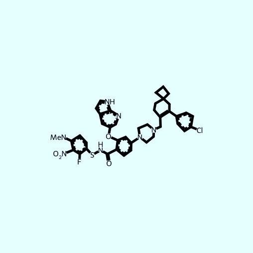 CNc1ccc(SNC(=O)c2ccc(N3CCN(CC4=C(c5ccc(Cl)cc5)CC5(CCC5)CC4)CC3)cc2Oc2cnc3[nH]ccc3c2)c(F)c1[N+](=O)[O-]